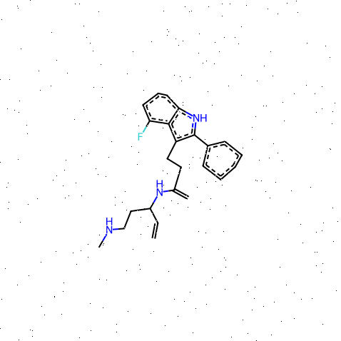 C=CC(CCNC)NC(=C)CCc1c(-c2ccccc2)[nH]c2cccc(F)c12